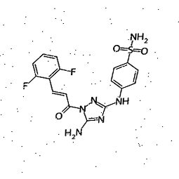 Nc1nc(Nc2ccc(S(N)(=O)=O)cc2)nn1C(=O)C=Cc1c(F)cccc1F